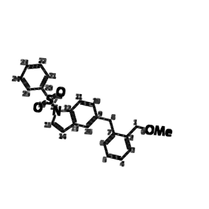 COCc1ccccc1Cc1ccc2c(ccn2S(=O)(=O)c2ccccc2)c1